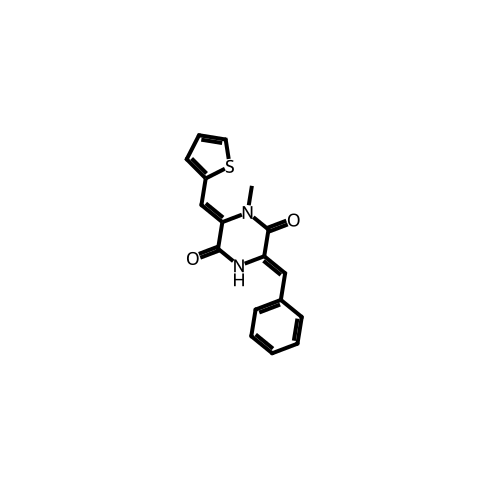 Cn1c(=O)c(=Cc2ccccc2)[nH]c(=O)c1=Cc1cccs1